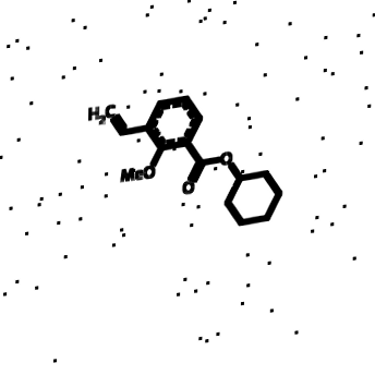 C=Cc1cccc(C(=O)OC2CCCCC2)c1OC